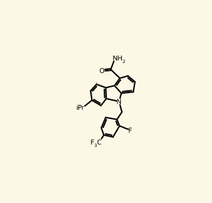 CC(C)c1c[c]c2c3c(C(N)=O)cccc3n(Cc3ccc(C(F)(F)F)cc3F)c2c1